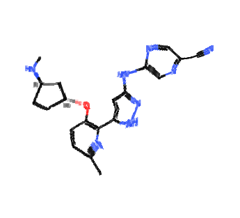 CN[C@@H]1CC[C@@H](Oc2ccc(C)nc2-c2cc(Nc3cnc(C#N)cn3)n[nH]2)C1